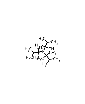 CC(C)C(C)(C)P(C(C)(C)C(C)C)C(C)(C)C(C)C